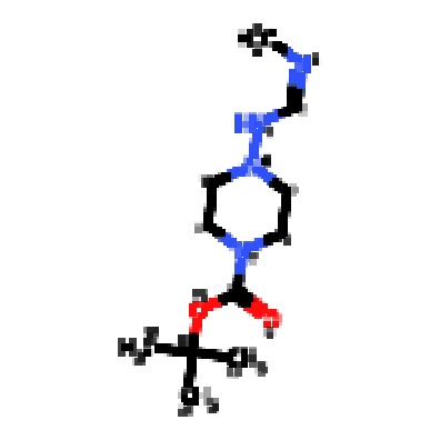 C/N=C\NN1CCN(C(=O)OC(C)(C)C)CC1